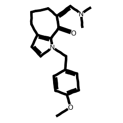 COc1ccc(Cn2ccc3c2C(=O)C(=CN(C)C)CCC3)cc1